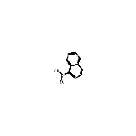 CCN(N=O)c1cccc2ccccc12